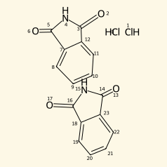 Cl.Cl.O=C1NC(=O)c2ccccc21.O=C1NC(=O)c2ccccc21